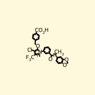 CN(C(=O)c1cccc(-n2nc(C(F)(F)F)c(Cl)c2OCc2ccc(C(=O)O)cc2)c1)c1ccc2c(c1)OCO2